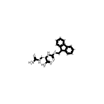 NC(=O)NC[C@H](NC(=O)OCC1c2ccccc2-c2ccccc21)C(=O)O